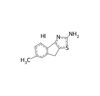 Cc1ccc2c(c1)Cc1sc(N)nc1-2.I